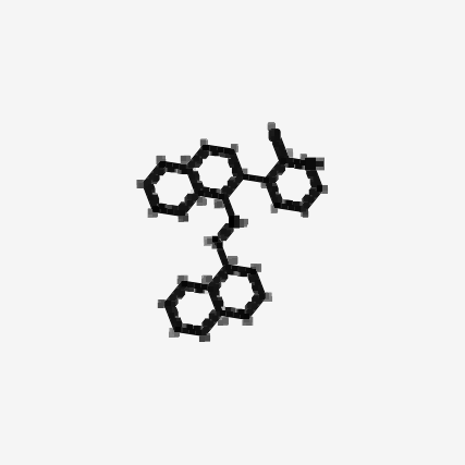 O=c1[nH]cccc1-c1ccc2ccccc2c1N=Nc1cccc2ccccc12